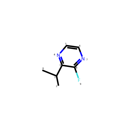 CC(C)c1nccnc1F